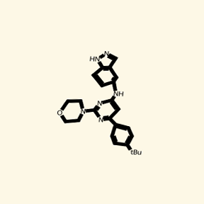 CC(C)(C)c1ccc(-c2cc(Nc3ccc4[nH]ncc4c3)nc(N3CCOCC3)n2)cc1